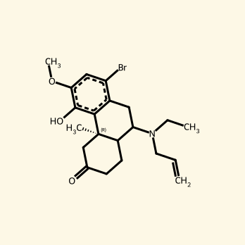 C=CCN(CC)C1Cc2c(Br)cc(OC)c(O)c2[C@]2(C)CC(=O)CCC12